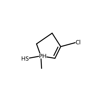 C[PH]1(S)C=C(Cl)CC1